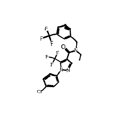 CCN(Cc1cccc(C(F)(F)F)c1)C(=O)c1cnn(-c2ccc(Cl)cc2)c1C(F)(F)F